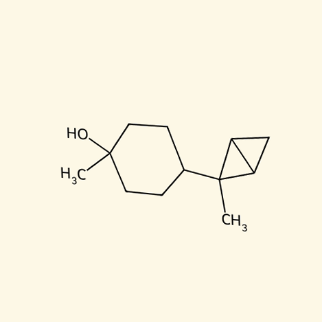 CC1(O)CCC(C2(C)C3CC32)CC1